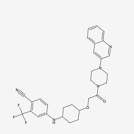 N#Cc1ccc(NC2CCC(OCC(=O)N3CCN(c4cnc5ccccc5c4)CC3)CC2)cc1C(F)(F)F